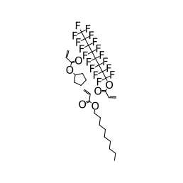 C=CC(=O)OC(F)(F)C(F)(F)C(F)(F)C(F)(F)C(F)(F)C(F)(F)C(F)(F)C(F)(F)F.C=CC(=O)OC1CCCC1.C=CC(=O)OCCCCCCCCC